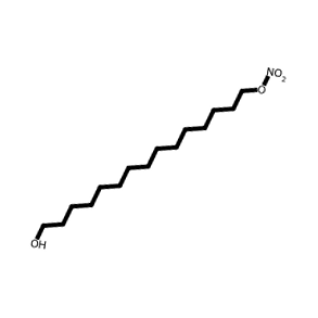 O=[N+]([O-])OCCCCCCCCCCCCCCCO